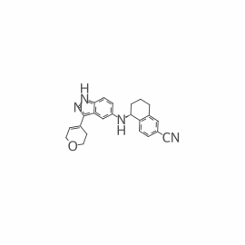 N#Cc1ccc2c(c1)CCC[C@@H]2Nc1ccc2[nH]nc(C3=CCOCC3)c2c1